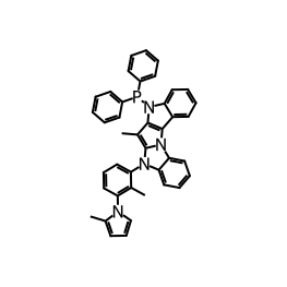 Cc1c(-n2cccc2C)cccc1-n1c2ccccc2n2c3c4ccccc4n(P(c4ccccc4)c4ccccc4)c3c(C)c12